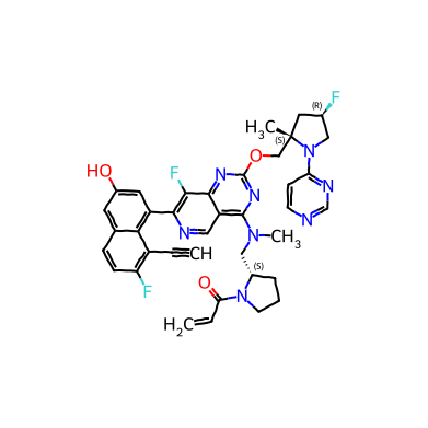 C#Cc1c(F)ccc2cc(O)cc(-c3ncc4c(N(C)C[C@@H]5CCCN5C(=O)C=C)nc(OC[C@]5(C)C[C@@H](F)CN5c5ccncn5)nc4c3F)c12